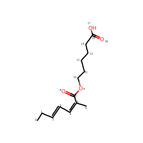 CCC=CC=C(C)C(=O)OCCCCCC(=O)O